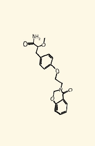 COC(Cc1ccc(OCCN2COc3ccccc3C2=O)cc1)C(N)=O